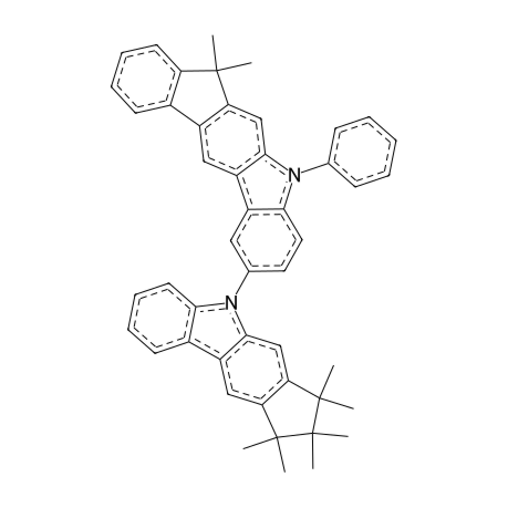 CC1(C)c2ccccc2-c2cc3c4cc(-n5c6ccccc6c6cc7c(cc65)C(C)(C)C(C)(C)C7(C)C)ccc4n(-c4ccccc4)c3cc21